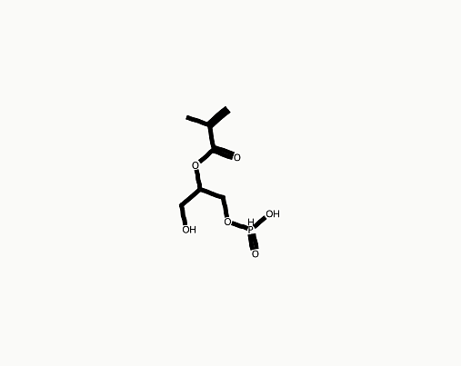 C=C(C)C(=O)OC(CO)CO[PH](=O)O